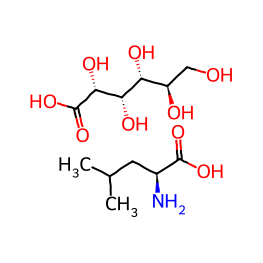 CC(C)C[C@H](N)C(=O)O.O=C(O)[C@H](O)[C@@H](O)[C@H](O)[C@H](O)CO